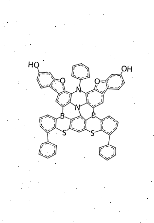 Oc1ccc2c(c1)oc1c3c4c(cc12)B1c2cccc(-c5ccccc5)c2Sc2cc5c6c(c21)N4c1c(cc2c(oc4cc(O)ccc42)c1N3c1ccccc1)B6c1cccc(-c2ccccc2)c1S5